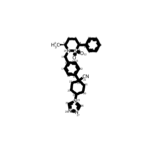 C[C@H]1CCC(c2ccccc2)S(=O)(=O)N1Cc1ccc(C2(C#N)CCC(n3cnnc3)CC2)cc1